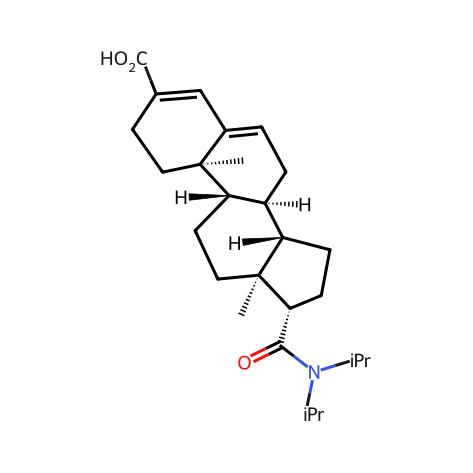 CC(C)N(C(=O)[C@H]1CC[C@H]2[C@@H]3CC=C4C=C(C(=O)O)CC[C@]4(C)[C@H]3CC[C@]12C)C(C)C